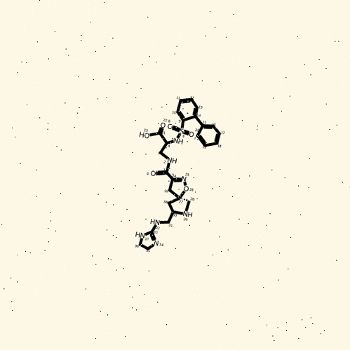 O=C(NCC(NS(=O)(=O)c1ccccc1-c1ccccc1)C(=O)O)C1=NO[C@]2(CNC(CNC3=NCCN3)C2)C1